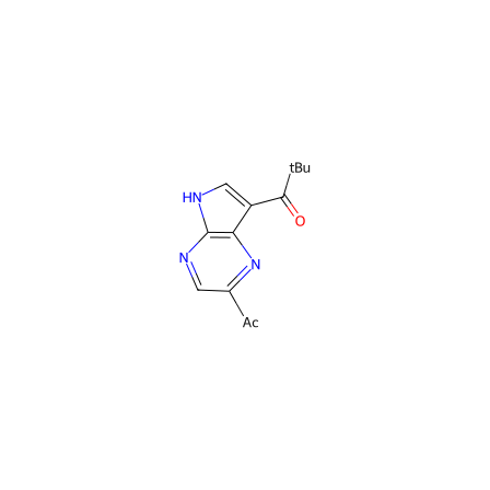 CC(=O)c1cnc2[nH]cc(C(=O)C(C)(C)C)c2n1